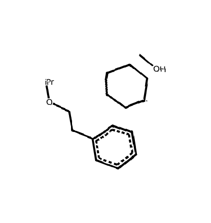 CC(C)OCCc1ccccc1.CO.[CH]1CCCCC1